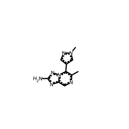 Cc1ncc2nc(N)nn2c1-c1cnn(C)c1